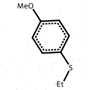 C[CH]Sc1ccc(OC)cc1